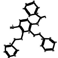 CC(Oc1ccc(O)c(CCc2ccccc2)c1CCc1ccccc1)c1ccccc1